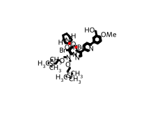 COc1ccc(-c2ccc(-c3cnn4c(N(COCC[Si](C)(C)C)COCC[Si](C)(C)C)c(Br)c([C@@H]5C[C@H]6CC[C@@H](C5)N6C(=O)OC(C)(C)C)nc34)cn2)cc1CO